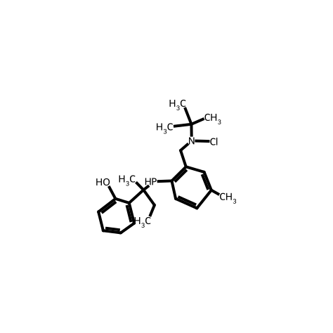 CCC(C)(Pc1ccc(C)cc1CN(Cl)C(C)(C)C)c1ccccc1O